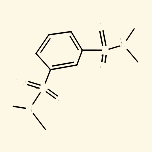 CN(C)S(=O)(=O)c1cccc(S(=O)(=O)N(C)C)c1